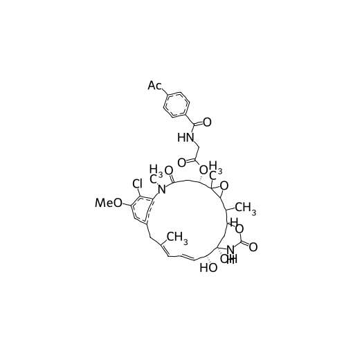 COc1cc2cc(c1Cl)N(C)C(=O)C[C@H](OC(=O)CNC(=O)c1ccc(C(C)=O)cc1)C1(C)OC1C(C)[C@@H]1C[C@@](O)(NC(=O)O1)[C@H](O)/C=C/C=C(\C)C2